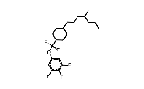 CCCC(C)CCCC1CCC(C(F)(F)Oc2cc(F)c(F)c(F)c2)CC1